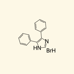 Br.c1ccc(-c2nc[nH]c2-c2ccccc2)cc1